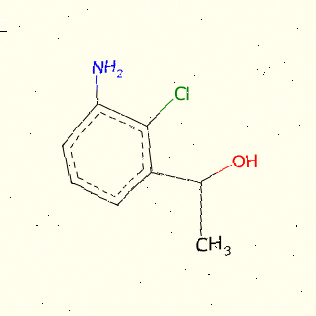 CC(O)c1cccc(N)c1Cl